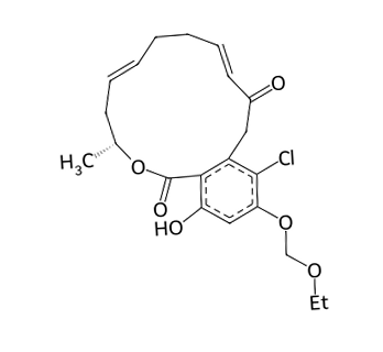 CCOCOc1cc(O)c2c(c1Cl)CC(=O)/C=C/CC/C=C/C[C@@H](C)OC2=O